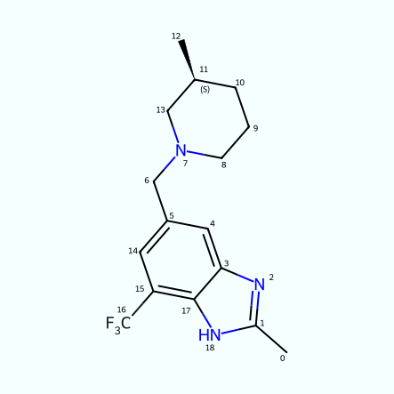 Cc1nc2cc(CN3CCC[C@H](C)C3)cc(C(F)(F)F)c2[nH]1